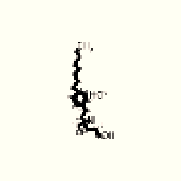 CCCCCCCCc1ccc(CCC(N)(CO)CCCO)cc1.Cl